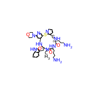 CN1C(=O)[C@H](CCCCN)NC(=O)[C@H](CCCN)NCc2cccnc2Sc2cnc(N3CCOCC3)cc2CNC(=O)[C@@H]1Cc1c[nH]c2ccccc12